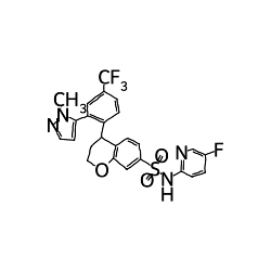 Cn1nccc1-c1cc(C(F)(F)F)ccc1C1CCOc2cc(S(=O)(=O)Nc3ccc(F)cn3)ccc21